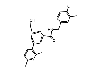 Cc1cc(CNC(=O)c2cc(CO)cc(-c3ccc(F)nc3C)c2)ccc1Cl